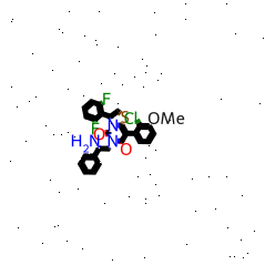 COc1cccc(-c2c3n(c(=O)n(CC(N)c4ccccc4)c2=O)C(c2c(F)cccc2F)CS3)c1Cl